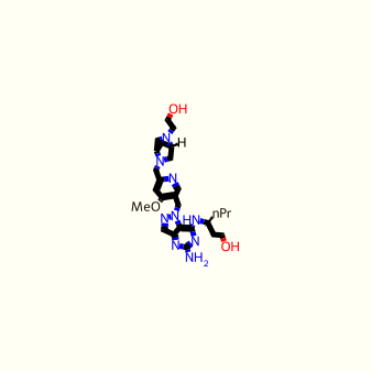 CCC[C@@H](CCO)Nc1nc(N)nc2cnn(Cc3cnc(CN4C[C@@H]5CC4CN5CCO)cc3OC)c12